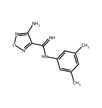 Cc1cc(C)cc(NC(=N)c2nonc2N)c1